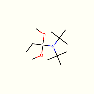 CC[Si](OC)(OC)N(C(C)(C)C)C(C)(C)C